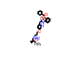 CCCC(=O)C1(CNCCCOc2ccc(CC(Nc3ccccc3OC(=O)c3ccccc3)C(=O)O)cc2)CC1